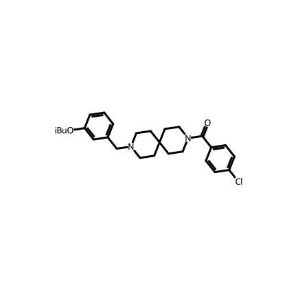 CC(C)COc1cccc(CN2CCC3(CC2)CCN(C(=O)c2ccc(Cl)cc2)CC3)c1